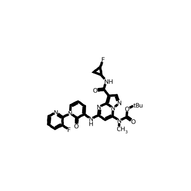 CN(C(=O)OC(C)(C)C)c1cc(Nc2cccn(-c3ncccc3F)c2=O)nc2c(C(=O)NC3CC3F)cnn12